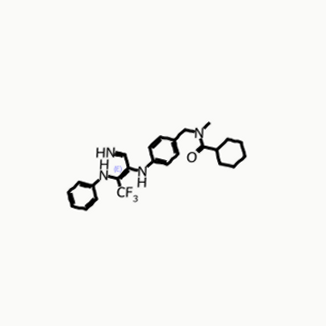 CN(Cc1ccc(N/C(C=N)=C(/Nc2ccccc2)C(F)(F)F)cc1)C(=O)C1CCCCC1